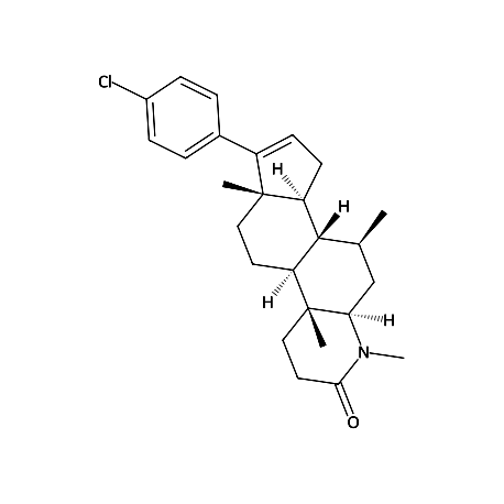 C[C@H]1C[C@H]2N(C)C(=O)CC[C@]2(C)[C@H]2CC[C@]3(C)C(c4ccc(Cl)cc4)=CC[C@H]3[C@H]12